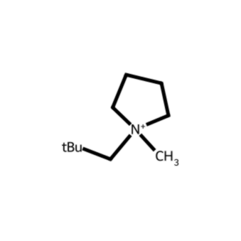 CC(C)(C)C[N+]1(C)CCCC1